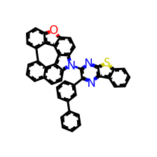 c1ccc(-c2cccc(-c3nc4c(nc3-n3c5ccc6cccc7c6c5c5c6c(ccc53)oc3cccc-7c36)sc3ccccc34)c2)cc1